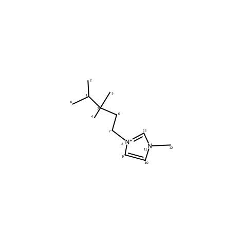 CC(C)C(C)(C)CC[n+]1ccn(C)c1